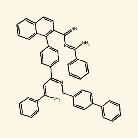 N=C(/N=C(\N)c1ccccc1)c1ccc2ccccc2c1-c1ccc(C(/C=C(\N)c2ccccc2)=N/Cc2ccc(-c3ccccc3)cc2)cc1